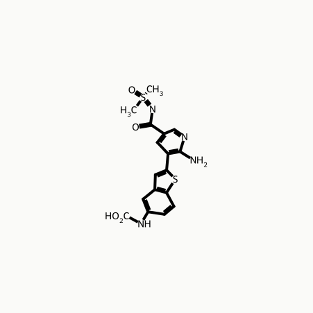 CS(C)(=O)=NC(=O)c1cnc(N)c(-c2cc3cc(NC(=O)O)ccc3s2)c1